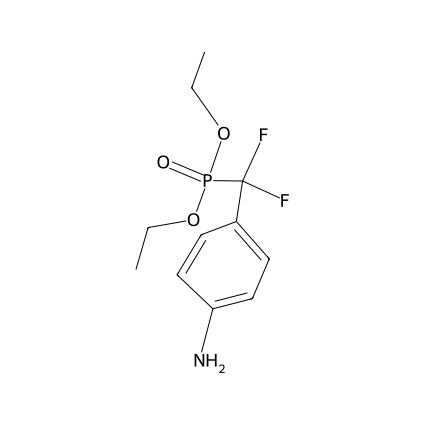 CCOP(=O)(OCC)C(F)(F)c1ccc(N)cc1